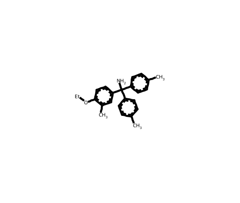 CCOc1ccc(C(N)(c2ccc(C)cc2)c2ccc(C)cc2)cc1C